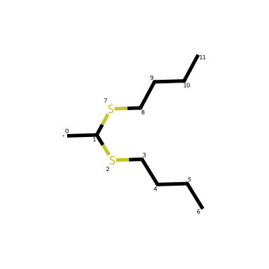 [CH2]C(SCCCC)SCCCC